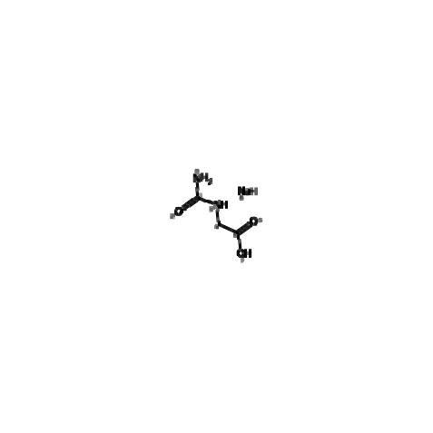 NC(=O)NCC(=O)O.[NaH]